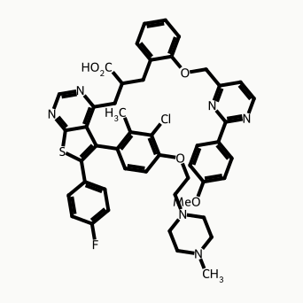 COc1ccc(-c2nccc(COc3ccccc3CC(Cc3ncnc4sc(-c5ccc(F)cc5)c(-c5ccc(OCCN6CCN(C)CC6)c(Cl)c5C)c34)C(=O)O)n2)cc1